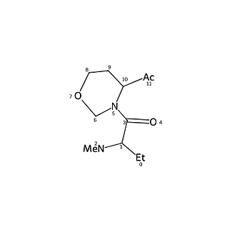 CCC(NC)C(=O)N1COCCC1C(C)=O